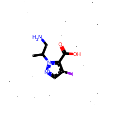 CC(CN)n1ncc(I)c1C(=O)O